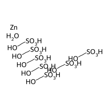 O.O=S(=O)(O)O.O=S(=O)(O)O.O=S(=O)(O)O.O=S(=O)(O)O.O=S(=O)(O)O.O=S(=O)(O)O.O=S(=O)(O)O.[Zn]